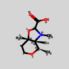 C[C@@H]1OCC[C@]2(C)OC(C(=O)O)N(C)[C@H]12